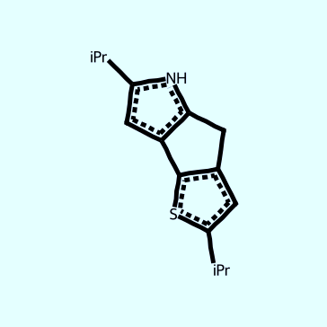 CC(C)c1cc2c([nH]1)Cc1cc(C(C)C)sc1-2